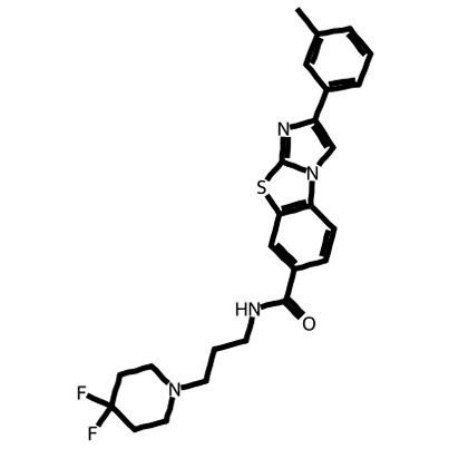 Cc1cccc(-c2cn3c(n2)sc2cc(C(=O)NCCCN4CCC(F)(F)CC4)ccc23)c1